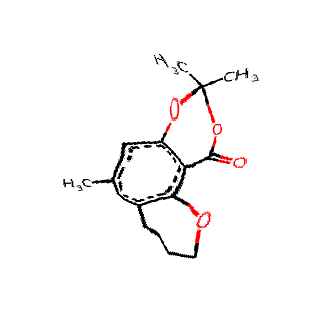 Cc1cc2c(c3c1CCCO3)C(=O)OC(C)(C)O2